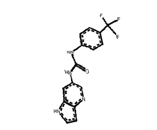 O=C(Nc1ccc(C(F)(F)F)cc1)Nc1cnc2cc[nH]c2c1